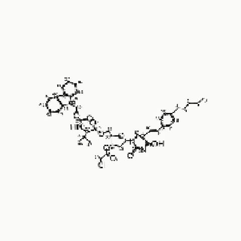 CCCCCc1ccc(/C=C/c2cn(C3CC(OC(=O)CCl)C(COC(=O)C(NC(=O)OCC4c5ccccc5-c5ccccc54)C(C)C)O3)c(=O)nc2O)cc1